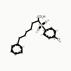 O=C(O)C(CCCCCc1ccccc1)S(=O)(=O)c1ccc(Cl)cc1